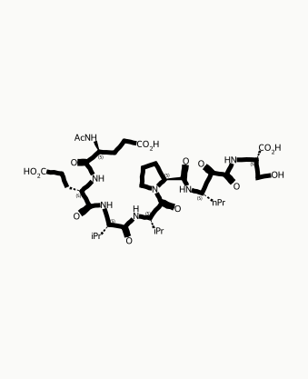 CCC[C@H](NC(=O)[C@@H]1CCCN1C(=O)[C@@H](NC(=O)[C@@H](NC(=O)[C@H](CCC(=O)O)NC(=O)[C@H](CCC(=O)O)NC(C)=O)C(C)C)C(C)C)C(=O)C(=O)N[C@@H](CO)C(=O)O